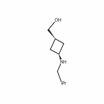 CC(C)CN[C@H]1C[C@@H](CO)C1